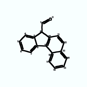 O=CC1c2ccccc2-c2c1ccc1ccccc21